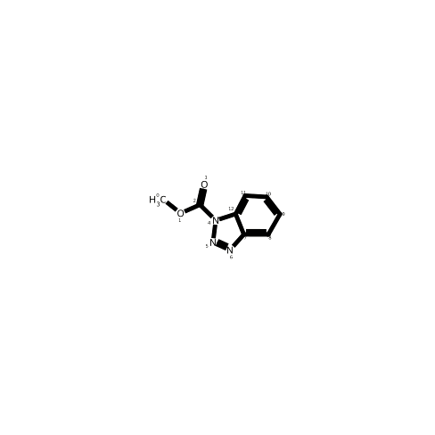 COC(=O)n1nnc2ccccc21